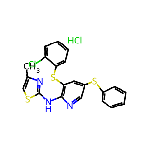 Cc1csc(Nc2ncc(Sc3ccccc3)cc2Sc2ccccc2Cl)n1.Cl